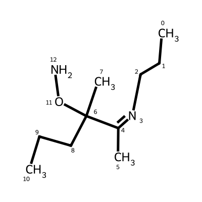 CCCN=C(C)C(C)(CCC)ON